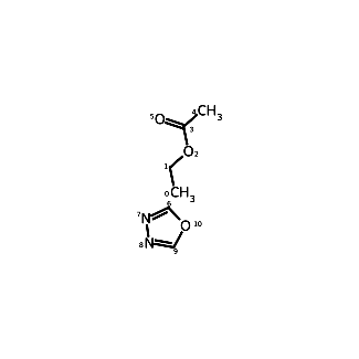 CCOC(C)=O.c1nnco1